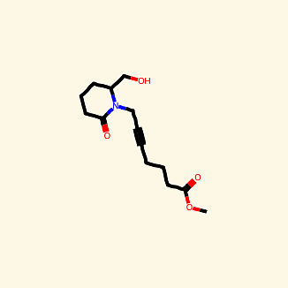 COC(=O)CCCC#CCN1C(=O)CCCC1CO